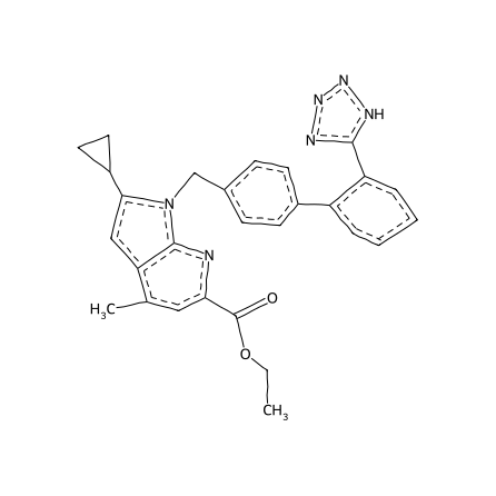 CCOC(=O)c1cc(C)c2cc(C3CC3)n(Cc3ccc(-c4ccccc4-c4nnn[nH]4)cc3)c2n1